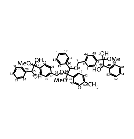 COC(O)(c1ccc(COC(c2ccccc2)C(OC)(OCc2ccc(C(O)(OC)C(O)c3ccccc3)cc2)c2ccc(C)cc2)cc1)C(O)c1ccccc1